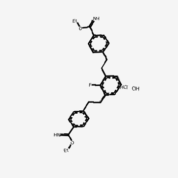 CCOC(=N)c1ccc(CCc2cccc(CCc3ccc(C(=N)OCC)cc3)c2F)cc1.Cl.Cl